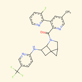 Cc1cnc(C(=O)N2CC3CC34CC(Nc3ccc(C(F)(F)F)cn3)C24)c(-c2ncccc2F)c1